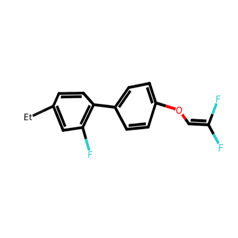 CCc1ccc(-c2ccc(OC=C(F)F)cc2)c(F)c1